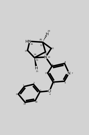 c1ccc(Oc2cncc(N3C[C@H]4C[C@H]3CN4)c2)cc1